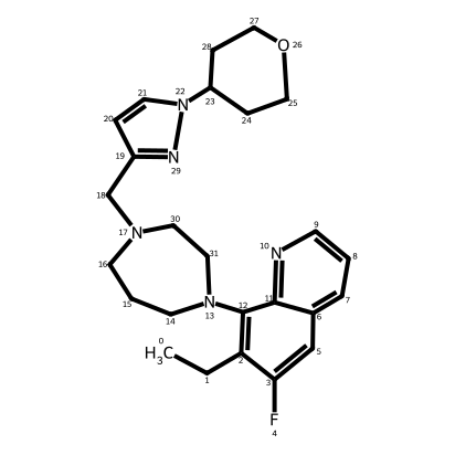 CCc1c(F)cc2cccnc2c1N1CCCN(Cc2ccn(C3CCOCC3)n2)CC1